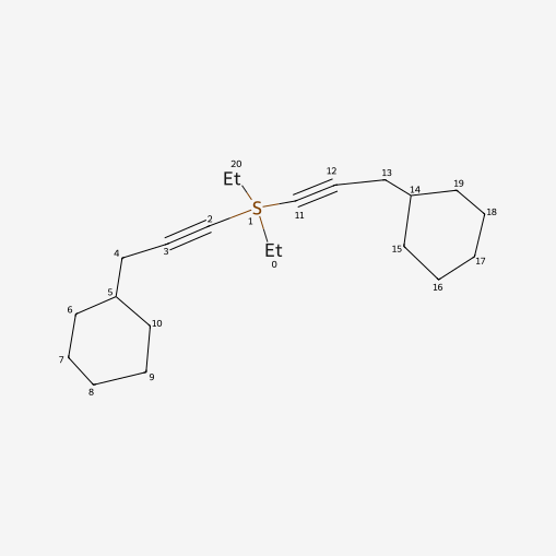 CCS(C#CCC1CCCCC1)(C#CCC1CCCCC1)CC